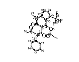 CC(=O)Oc1c(C(=O)N(C(C)=O)c2ccccc2)c(=O)n(C)c2scc(C(F)(F)F)c12